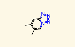 Cc1cc2nnnn2cc1C